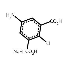 Nc1cc(C(=O)O)c(Cl)c(C(=O)O)c1.[NaH]